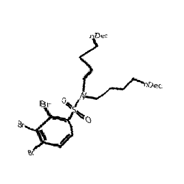 CCCCCCCCCCCCCCN(CCCCCCCCCCCCCC)S(=O)(=O)c1ccc(Br)c(Br)c1Br